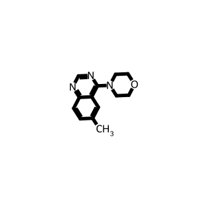 Cc1ccc2ncnc(N3CCOCC3)c2c1